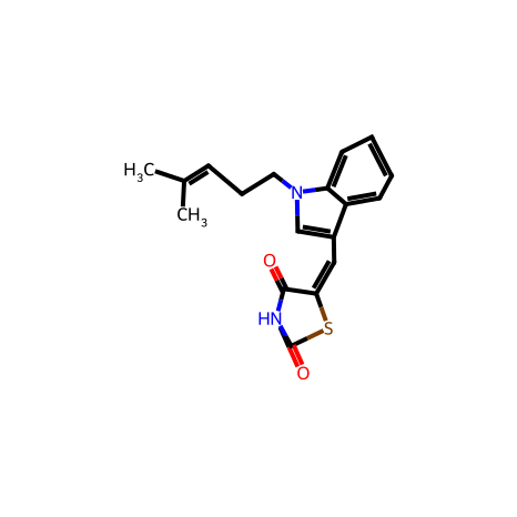 CC(C)=CCCn1cc(C=C2SC(=O)NC2=O)c2ccccc21